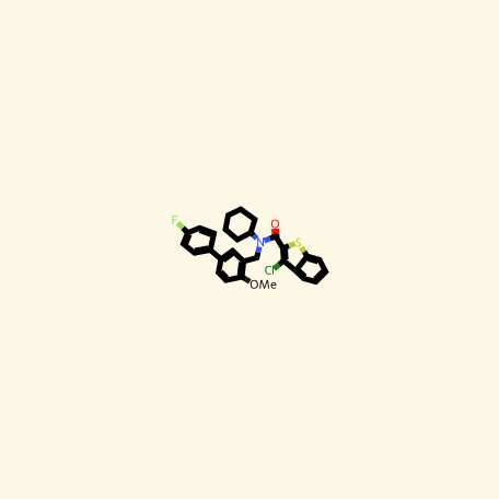 COc1ccc(-c2ccc(F)cc2)cc1CN(C(=O)c1sc2ccccc2c1Cl)C1CCCCC1